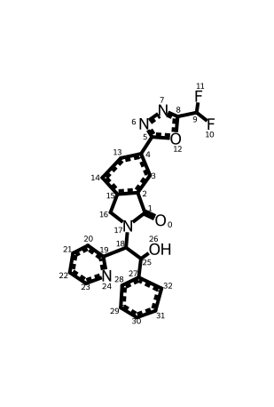 O=C1c2cc(-c3nnc(C(F)F)o3)ccc2CN1C(c1ccccn1)C(O)c1ccccc1